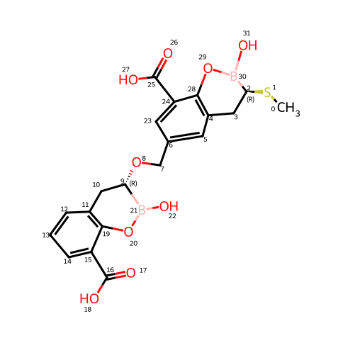 CS[C@H]1Cc2cc(CO[C@H]3Cc4cccc(C(=O)O)c4OB3O)cc(C(=O)O)c2OB1O